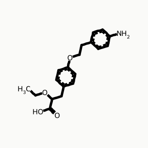 CCOC(Cc1ccc(OCCc2ccc(N)cc2)cc1)C(=O)O